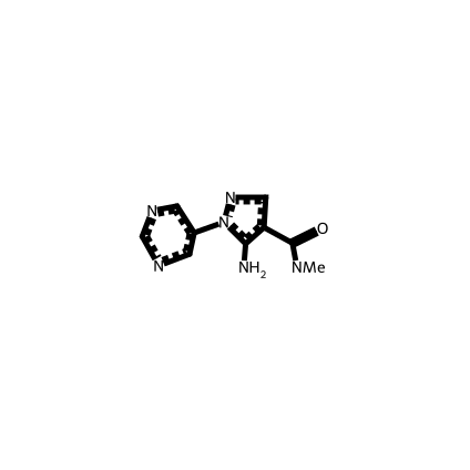 CNC(=O)c1cnn(-c2cncnc2)c1N